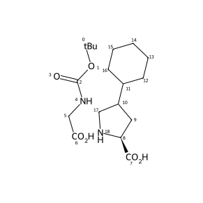 CC(C)(C)OC(=O)NCC(=O)O.O=C(O)[C@@H]1CC(C2CCCCC2)CN1